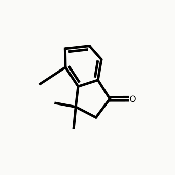 Cc1cccc2c1C(C)(C)CC2=O